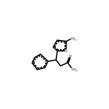 CC(=O)CC(c1ccccc1)c1ccc(C)o1